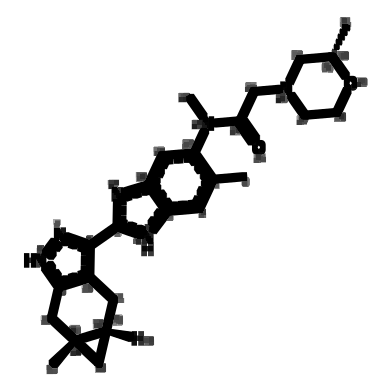 Cc1cc2[nH]c(-c3n[nH]c4c3C[C@@H]3C[C@]3(C)C4)nc2cc1N(C)C(=O)CN1CCO[C@@H](C)C1